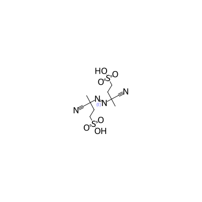 CC(C#N)(CCS(=O)(=O)O)/N=N/C(C)(C#N)CCS(=O)(=O)O